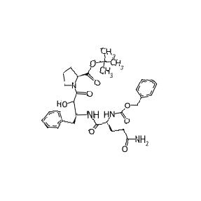 CC(C)(C)OC(=O)[C@@H]1CCCN1C(=O)C(O)[C@H](Cc1ccccc1)NC(=O)[C@H](CCC(N)=O)NC(=O)OCc1ccccc1